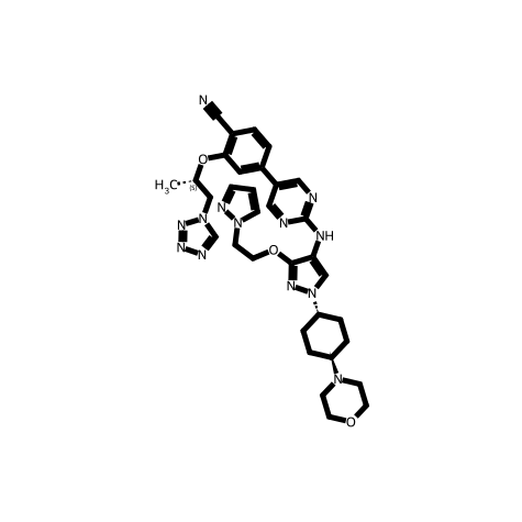 C[C@@H](Cn1cnnn1)Oc1cc(-c2cnc(Nc3cn([C@H]4CC[C@H](N5CCOCC5)CC4)nc3OCCn3cccn3)nc2)ccc1C#N